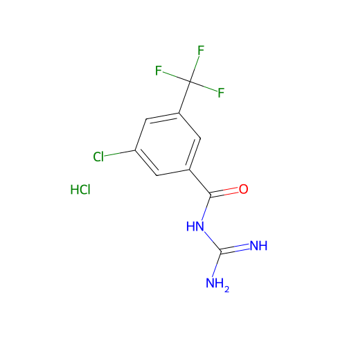 Cl.N=C(N)NC(=O)c1cc(Cl)cc(C(F)(F)F)c1